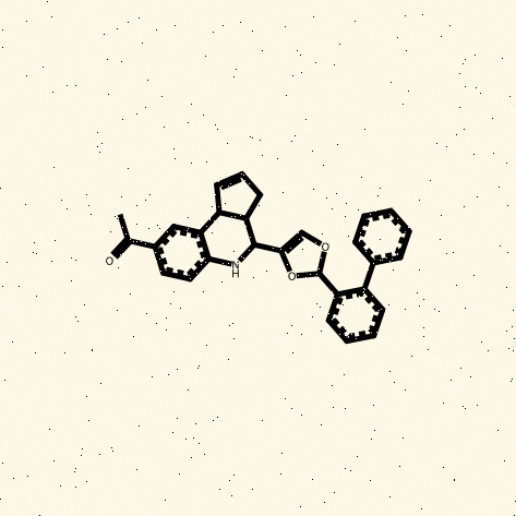 CC(=O)c1ccc2c(c1)C1C=CCC1C(C1=COC(c3ccccc3-c3ccccc3)O1)N2